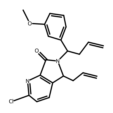 C=CCC(c1cccc(OC)c1)N1C(=O)c2nc(Cl)ccc2C1CC=C